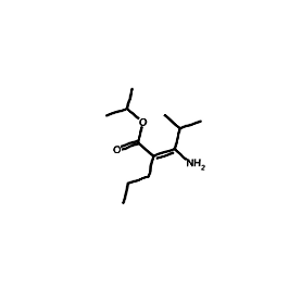 CCCC(C(=O)OC(C)C)=C(N)C(C)C